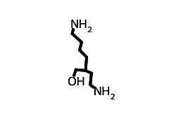 NCCCCC(CO)CCN